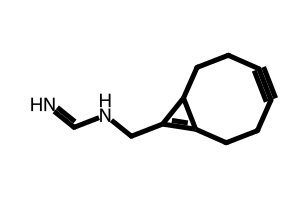 N=CNCC1=C2CCC#CCCC21